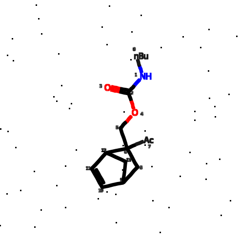 CCCCNC(=O)OCC1(C(C)=O)CC2C=CC1C2